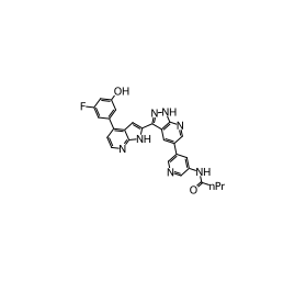 CCCC(=O)Nc1cncc(-c2cnc3[nH]nc(-c4cc5c(-c6cc(O)cc(F)c6)ccnc5[nH]4)c3c2)c1